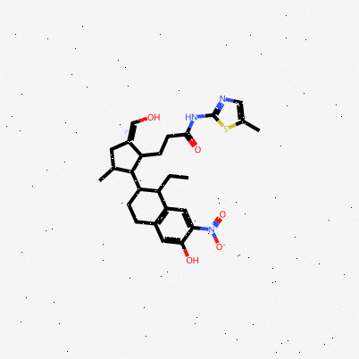 CCC1c2cc([N+](=O)[O-])c(O)cc2CCC1C1C(C)C/C(=C/O)C1CCC(=O)Nc1ncc(C)s1